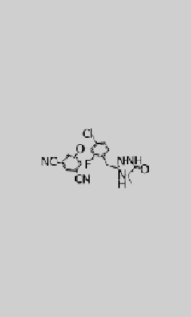 CC1NC(Cc2ccc(Cl)c(Oc3cc(C#N)cc(C#N)c3)c2F)=NNC1=O